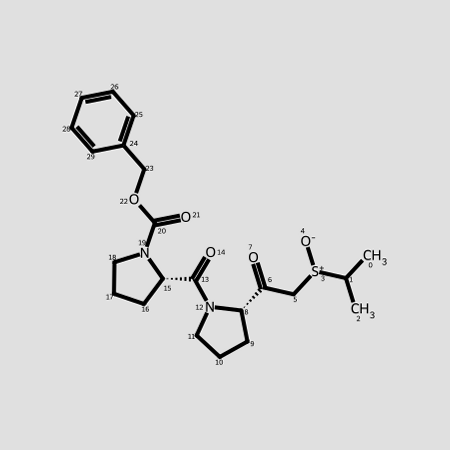 CC(C)[S+]([O-])CC(=O)[C@@H]1CCCN1C(=O)[C@@H]1CCCN1C(=O)OCc1ccccc1